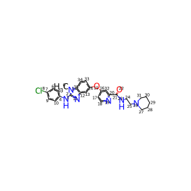 Cn1c(Nc2ccc(Cl)cc2)nc2cc(Oc3ccnc(C(=O)NCCN4CCCCC4)c3)ccc21